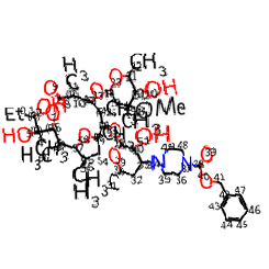 CC[C@@H](O)[C@@](C)(O)[C@@H]1OC(=O)[C@H](C)[C@@H](O[C@H]2CC(C)(OC)[C@@H](O)C(C)O2)[C@H](C)[C@@H](O[C@@H]2OC(C)CC(N3CCN(C(=O)OCc4ccccc4)CC3)C2O)[C@@]2(C)CC(C)C(O2)[C@@H]1C